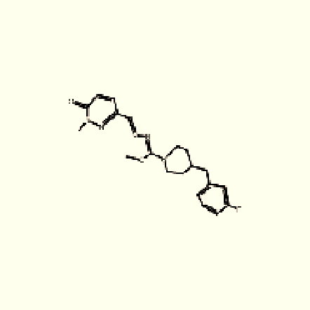 CO/C(=N\N=C\c1ccc(=O)n(C)n1)N1CCC(Cc2cccc(F)c2)CC1